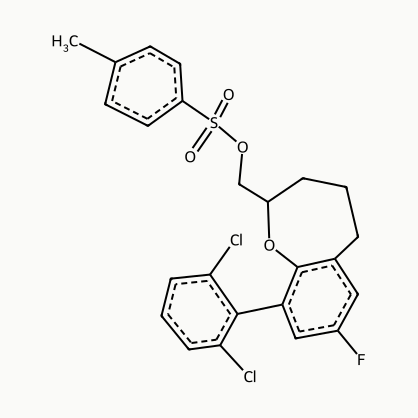 Cc1ccc(S(=O)(=O)OCC2CCCc3cc(F)cc(-c4c(Cl)cccc4Cl)c3O2)cc1